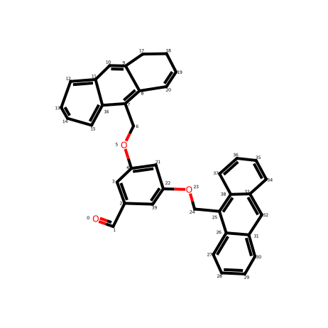 O=Cc1cc(OCc2c3c(cc4ccccc24)CCC=C3)cc(OCc2c3ccccc3cc3ccccc23)c1